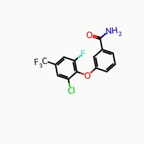 NC(=O)c1cccc(Oc2c(F)cc(C(F)(F)F)cc2Cl)c1